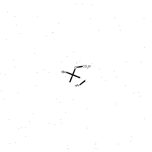 CC(C)(C)C(C)(C)OC(=O)O.CCCC